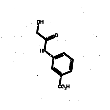 O=C(CO)Nc1cccc(C(=O)O)c1